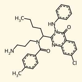 CCCCC(c1nc2cc(Cl)ccc2c(=O)n1Nc1ccccc1)N(CCCN)C(=O)c1ccc(C)cc1